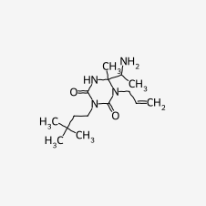 C=CCN1C(=O)N(CCC(C)(C)C)C(=O)NC1(C)C(C)N